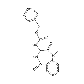 CN1C(=O)C(NC(=O)OCc2ccccc2)NC(=O)c2ccccc21